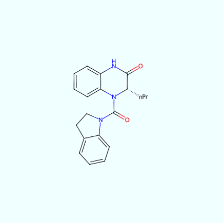 CCC[C@H]1C(=O)Nc2ccccc2N1C(=O)N1CCc2ccccc21